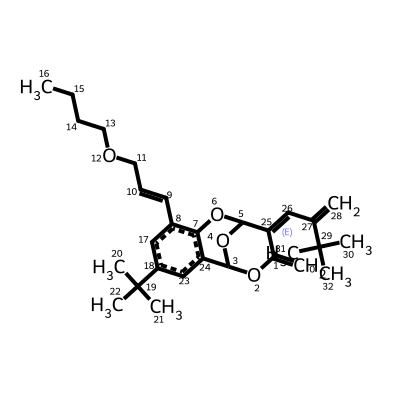 C=C1OC2OC(Oc3c(C=CCOCCCC)cc(C(C)(C)C)cc32)/C1=C/C(=C)C(C)(C)C